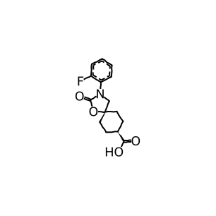 O=C1O[C@]2(CC[C@H](C(=O)O)CC2)CN1c1ccccc1F